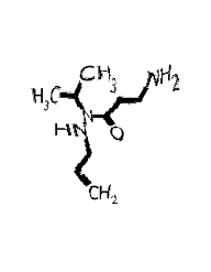 C=CCNN(C(=O)CCN)C(C)C